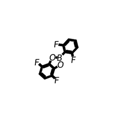 Fc1ccc(F)c2c1OB(c1c(F)cccc1F)O2